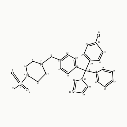 CS(=O)(=O)N1CCN(Cc2ccc(C(c3ccccc3)(c3ccc(Cl)cc3)n3ccnc3)cc2)CC1